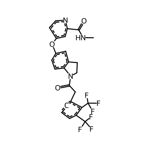 CNC(=O)c1cc(Oc2ccc3c(c2)CCN3C(=O)Cc2cccc(C(F)(F)F)c2C(F)(F)F)ccn1